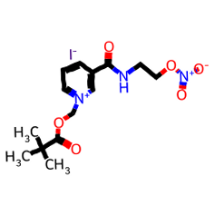 CC(C)(C)C(=O)OC[n+]1cccc(C(=O)NCCO[N+](=O)[O-])c1.[I-]